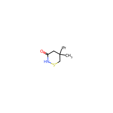 CC(C)C1(C)CSNC(=O)C1